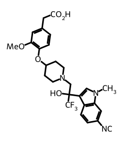 [C-]#[N+]c1ccc2c(C(O)(CN3CCC(Oc4ccc(CC(=O)O)cc4OC)CC3)C(F)(F)F)cn(C)c2c1